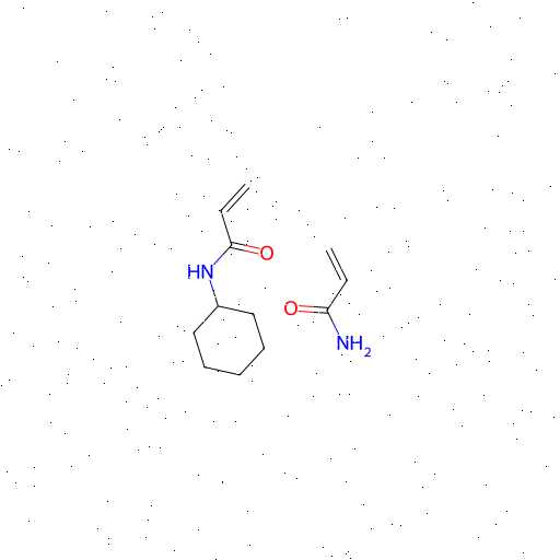 C=CC(=O)NC1CCCCC1.C=CC(N)=O